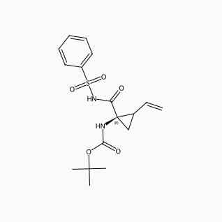 C=CC1C[C@]1(NC(=O)OC(C)(C)C)C(=O)NS(=O)(=O)c1ccccc1